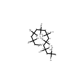 CC(C)CC(F)(F)CC(F)(F)CC(F)(F)CC(F)(F)CC(F)(F)CC(F)(F)CC(C)(F)F